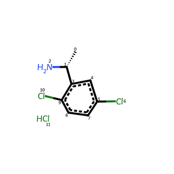 C[C@@H](N)c1cc(Cl)ccc1Cl.Cl